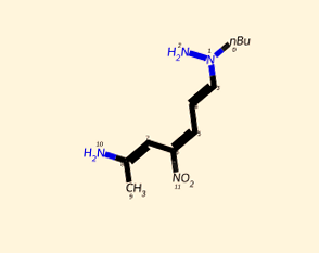 CCCCN(N)/C=C/C=C(\C=C(/C)N)[N+](=O)[O-]